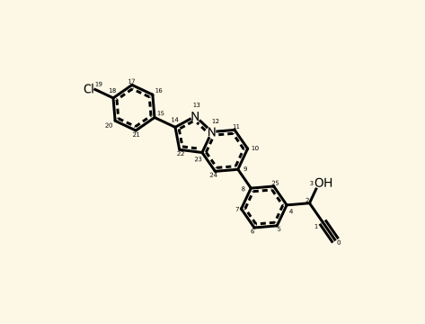 C#CC(O)c1cccc(-c2ccn3nc(-c4ccc(Cl)cc4)cc3c2)c1